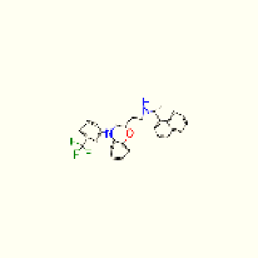 C[C@@H](NCCC1CN(c2cccc(C(F)(F)F)c2)c2ccccc2O1)c1cccc2ccccc12